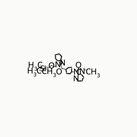 CCn1c(=O)n(-c2ccc(C(=O)c3nc4ccccc4n3COCC[Si](C)(C)C)cc2)c2ncccc21